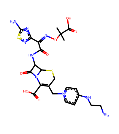 CC(C)(O/N=C(\C(=O)NC1C(=O)N2C(C(=O)O)=C(C[n+]3ccc(NCCN)cc3)CSC12)c1nsc(N)n1)C(=O)O